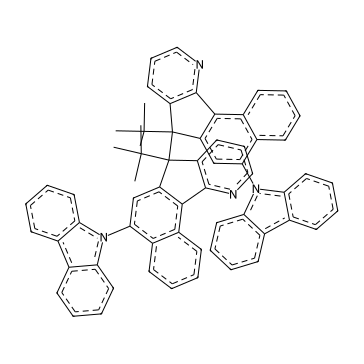 CC(C)(C)C1(C2(C(C)(C)C)c3cccnc3-c3c2cc(-n2c4ccccc4c4ccccc42)c2ccccc32)c2cccnc2-c2c1cc(-n1c3ccccc3c3ccccc31)c1ccccc21